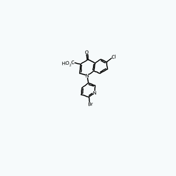 O=C(O)c1cn(-c2ccc(Br)nc2)c2ccc(Cl)cc2c1=O